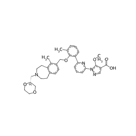 COc1c(C(=O)O)cnn1-c1cccc(-c2cccc(C)c2OCc2ccc3c(c2C)CCN(C[C@@H]2COCCO2)CC3)n1